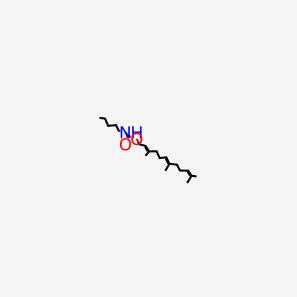 CCCCCNC(=O)OC/C=C(\C)CC/C=C(\C)CCC=C(C)C